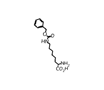 N[C@H](CCCCCCNC(=O)OCc1ccccc1)C(=O)O